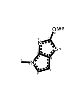 COc1nc2c(ccn2C)s1